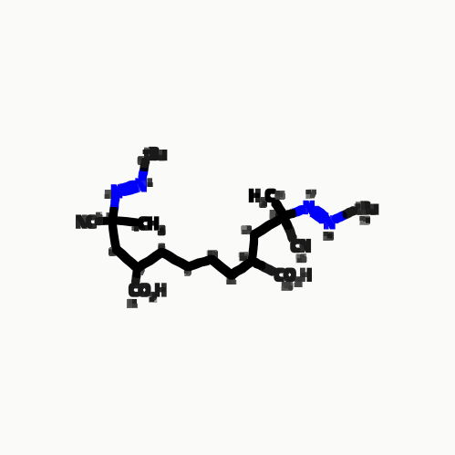 CC(C)(C)N=NC(C)(C#N)CC(CCCCC(CC(C)(C#N)N=NC(C)(C)C)C(=O)O)C(=O)O